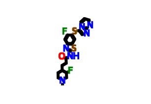 CN1CCC(CCC(=O)Nc2nc3cc(F)c(Sc4cnc5ncccn45)cc3s2)C(F)C1